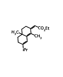 CCOC(=O)C=C1CCC2(C)CCC(C(C)C)=CC2=C1C